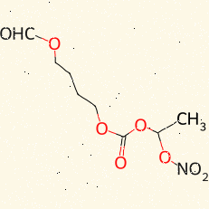 CC(OC(=O)OCCCCOC=O)O[N+](=O)[O-]